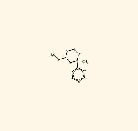 CCN1CCOC(C)(c2ccccc2)C1